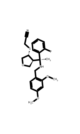 COc1ccc(CN[C@](C)(c2ccccc2F)[C@H]2COC[C@@H]2SCC#N)c(OC)c1